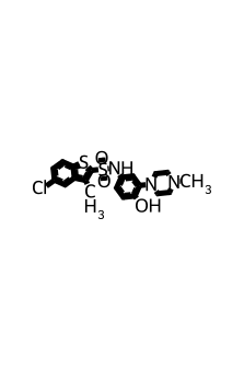 Cc1c(S(=O)(=O)Nc2ccc(O)c(N3CCN(C)CC3)c2)sc2ccc(Cl)cc12